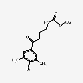 Cc1cc(C(=O)CCCNC(=O)OC(C)(C)C)cc(C)c1Br